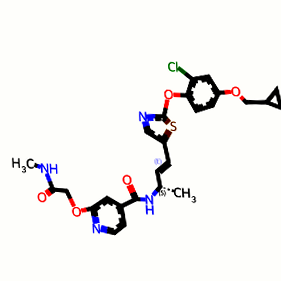 CNC(=O)COc1cc(C(=O)N[C@@H](C)/C=C/c2cnc(Oc3ccc(OCC4CC4)cc3Cl)s2)ccn1